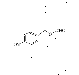 O=COCc1ccc(N=O)cc1